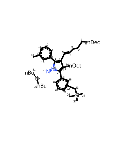 CCCCCCCCCCCCCC=CC1=C(c2cccc(C)c2)[N+](=[N-])C(c2cccc(C[Si](C)(C)C)c2)=C1CCCCCCCC.CCC[CH2][Ni][CH2]CCC